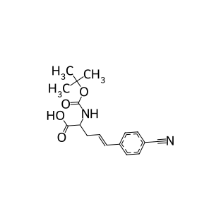 CC(C)(C)OC(=O)NC(CC=Cc1ccc(C#N)cc1)C(=O)O